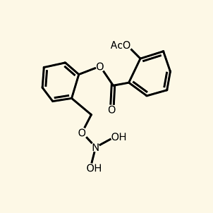 CC(=O)Oc1ccccc1C(=O)Oc1ccccc1CON(O)O